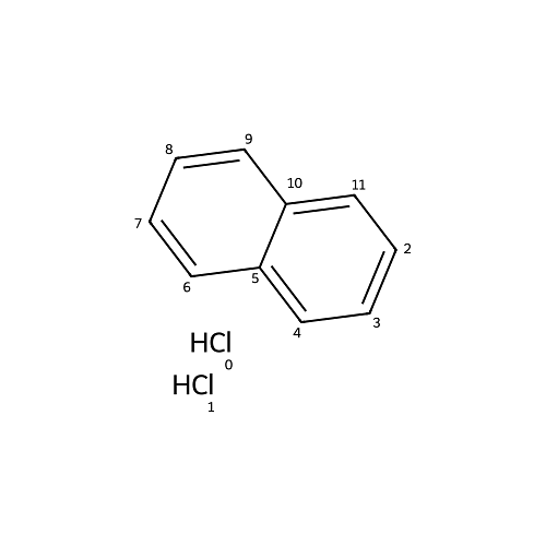 Cl.Cl.c1ccc2ccccc2c1